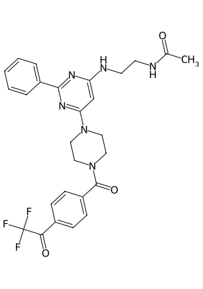 CC(=O)NCCNc1cc(N2CCN(C(=O)c3ccc(C(=O)C(F)(F)F)cc3)CC2)nc(-c2ccccc2)n1